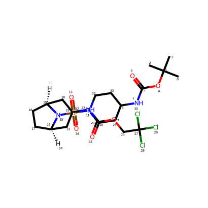 CC(C)(C)OC(=O)NC1CCN(S(=O)(=O)N2[C@@H]3CC[C@H]2CC(NC(=O)OCC(Cl)(Cl)Cl)C3)CC1